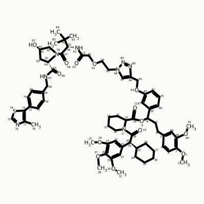 COc1ccc(CCC(OC(=O)C2CCCCN2C(=O)[C@H](c2cc(OC)c(OC)c(OC)c2)C2CCCCC2)c2cccc(OCc3cn(CCOCC(=O)N[C@H](C(=O)N4C[C@H](O)C[C@H]4C(=O)NCc4ccc(-c5scnc5C)cc4)C(C)(C)C)nn3)c2)cc1OC